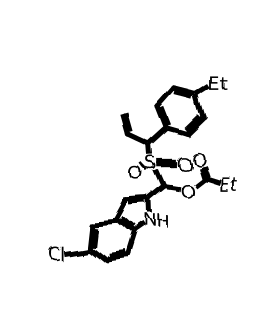 C=CC(c1ccc(CC)cc1)S(=O)(=O)C(OC(=O)CC)c1cc2cc(Cl)ccc2[nH]1